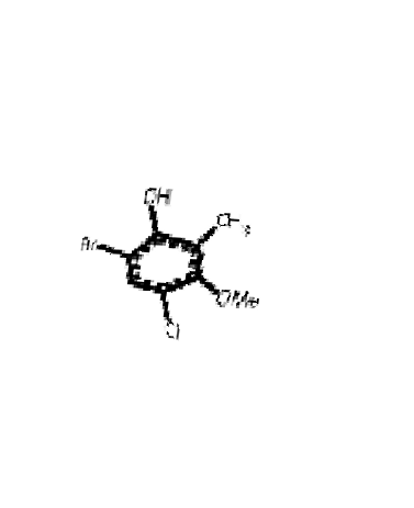 COc1c(Cl)cc(Br)c(O)c1C